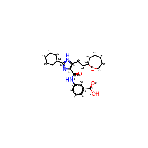 O=C(O)c1cccc(NC(=O)c2nc(C3CCCCC3)[nH]c2CCC2CCCCCO2)c1